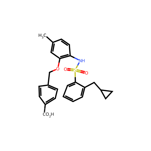 Cc1ccc(NS(=O)(=O)c2ccccc2CC2CC2)c(OCc2ccc(C(=O)O)cc2)c1